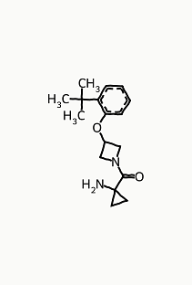 CC(C)(C)c1ccccc1OC1CN(C(=O)C2(N)CC2)C1